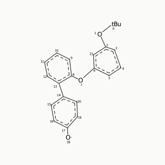 CC(C)(C)Oc1cccc(Oc2ccccc2-c2ccc([O])cc2)c1